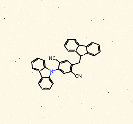 N#Cc1cc(-n2c3ccccc3c3ccccc32)c(C#N)cc1CC1c2ccccc2-c2ccccc21